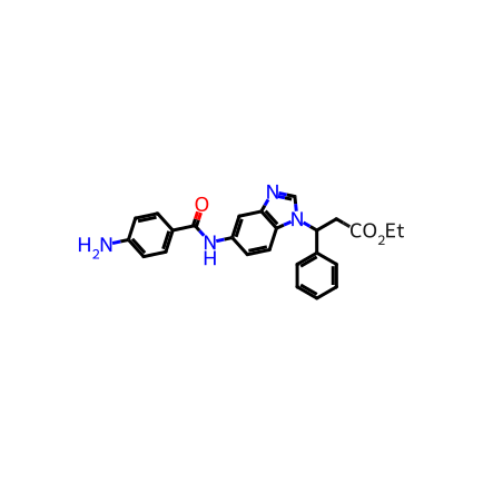 CCOC(=O)CC(c1ccccc1)n1cnc2cc(NC(=O)c3ccc(N)cc3)ccc21